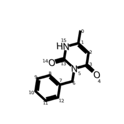 Cc1cc(=O)n(Cc2ccccc2)c(=O)[nH]1